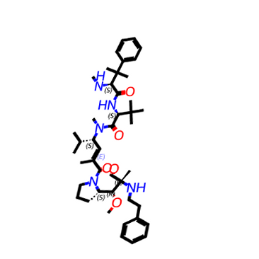 CN[C@H](C(=O)N[C@H](C(=O)N(C)[C@H](/C=C(\C)C(=O)N1CCC[C@H]1[C@@H](OC)[C@](C)(C=O)NCCc1ccccc1)C(C)C)C(C)(C)C)C(C)(C)c1ccccc1